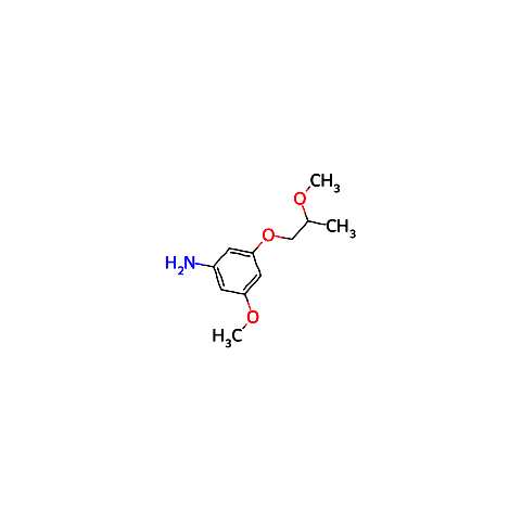 COc1cc(N)cc(OCC(C)OC)c1